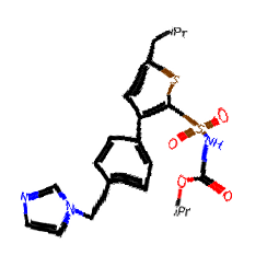 CC(C)Cc1cc(-c2ccc(Cn3ccnc3)cc2)c(S(=O)(=O)NC(=O)OC(C)C)s1